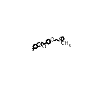 CC1CCCN1CCCOc1ccc(C(=O)CN2Cc3ccc(F)cc3C2)cc1